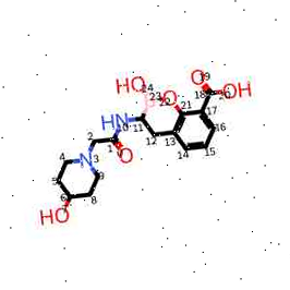 O=C(CN1CCC(O)CC1)NC1Cc2cccc(C(=O)O)c2OB1O